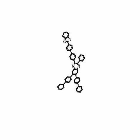 c1ccc(-c2ccc(-c3cc4nc(-c5ccccc5)c(-c5ccc(-c6ccc(-c7nc8ccccc8o7)cc6)cc5)nc4cc3-c3ccc(-c4ccccc4)cc3)cc2)cc1